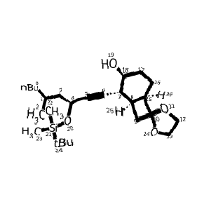 CCCCC(C)C[C@@H](C#C[C@H]1[C@@H]2CC3(OCCO3)[C@@H]2CC[C@@H]1O)O[Si](C)(C)C(C)(C)C